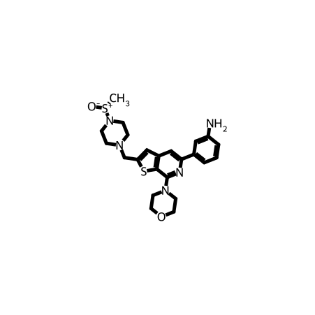 C[S+]([O-])N1CCN(Cc2cc3cc(-c4cccc(N)c4)nc(N4CCOCC4)c3s2)CC1